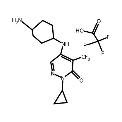 NC1CCC(Nc2cnn(C3CC3)c(=O)c2C(F)(F)F)CC1.O=C(O)C(F)(F)F